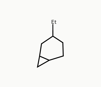 CCC1CCC2CC2C1